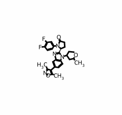 Cc1noc(C)c1-c1ccc2c(c1)nc([C@@H]1CCC(=O)N1c1ccc(F)c(F)c1)n2C1CCOC(C)C1